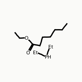 CCCCCCC(=O)OCC.CCPCC